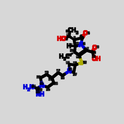 CC(O)[C@H]1C(=O)N2C(C(=O)O)=C(SC3CN(CCC4CCN(C(=N)N)CC4)C3)[C@H](C)[C@H]12